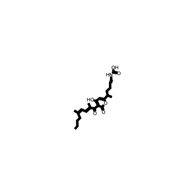 CCCC/C(C)=C\C=C(/C)C(=O)c1c(O)cc(C(C)CC/C=C/NC(=O)O)oc1=O